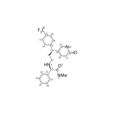 CNC(=O)[C@H](NCC[C@@H](c1ccc(C(F)(F)F)cc1)c1ccc(Cl)nc1)c1ccccc1